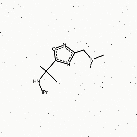 CC(C)NC(C)(C)c1nc(CN(C)C)no1